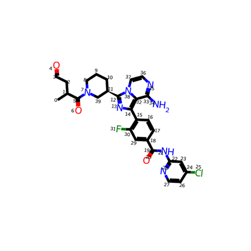 CC(CC=O)C(=O)N1CCC[C@@H](c2nc(-c3ccc(C(=O)Nc4cc(Cl)ccn4)cc3F)c3c(N)nccn23)C1